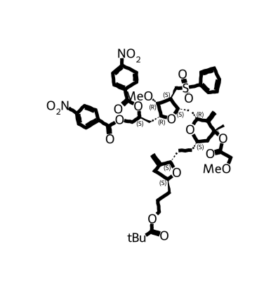 C=C1C[C@H](CCCOC(=O)C(C)(C)C)O[C@H]1CC[C@H]1C[C@@](C)(OC(=O)COC)C(=C)[C@@H](C[C@@H]2O[C@H](C[C@@H](COC(=O)c3ccc([N+](=O)[O-])cc3)OC(=O)c3ccc([N+](=O)[O-])cc3)[C@H](OC)[C@H]2CS(=O)(=O)c2ccccc2)O1